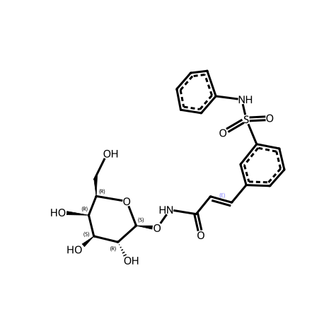 O=C(/C=C/c1cccc(S(=O)(=O)Nc2ccccc2)c1)NO[C@@H]1O[C@H](CO)[C@H](O)[C@H](O)[C@H]1O